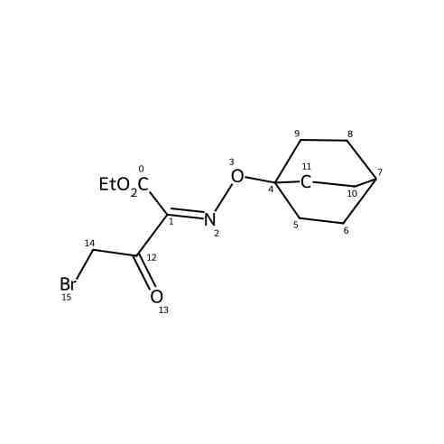 CCOC(=O)/C(=N\OC12CCC(CC1)CC2)C(=O)CBr